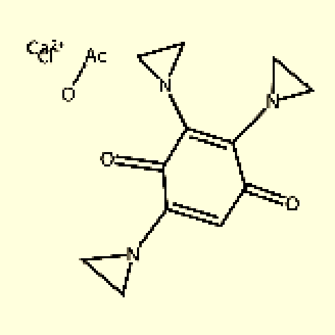 CC(=O)[O-].O=C1C=C(N2CC2)C(=O)C(N2CC2)=C1N1CC1.[Ca+2].[Cl-]